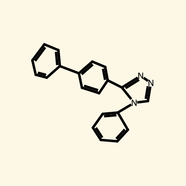 c1ccc(-c2ccc(-c3nncn3-c3ccccc3)cc2)cc1